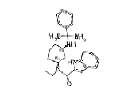 BC(B)(N[C@@H]1CCC[C@H](N(CC)C(=O)c2cc3ccccc3[nH]2)C1)c1ccccc1